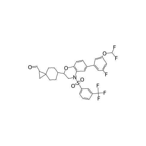 O=CC1CC12CCC(C1CN(S(=O)(=O)c3cccc(C(F)(F)F)c3)c3cc(-c4cc(F)cc(OC(F)F)c4)ccc3O1)CC2